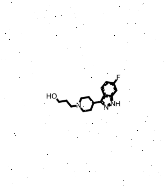 OCCCN1CCC(c2n[nH]c3cc(F)ccc23)CC1